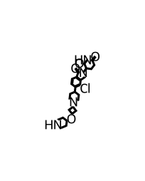 O=C1CCC(N2Cc3c(ccc(C4CCN(C5CC(OC6CCNCC6)C5)CC4)c3Cl)C2=O)C(=O)N1